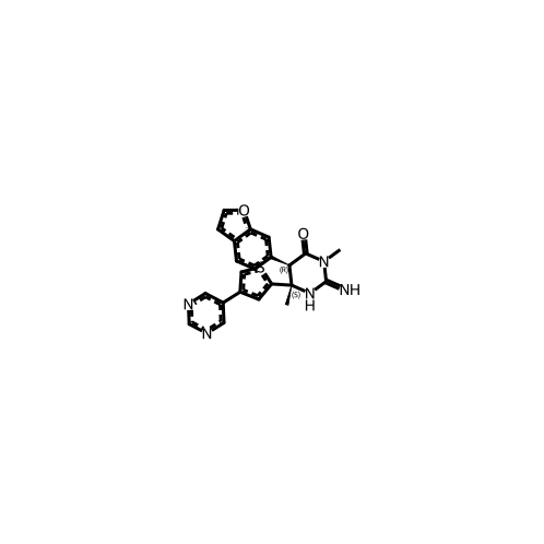 CN1C(=N)N[C@](C)(c2cc(-c3cncnc3)cs2)[C@@H](c2ccc3ccoc3c2)C1=O